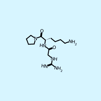 N=C(N)NCC(=O)N[C@@H](CCCCN)C(=O)N1CCCC1